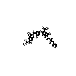 CC(NC(=O)Cn1cnnn1)[C@H]1C(=O)N2C(C(=O)O)C(SC3CNC(C(=O)N4CC5CC(NC(=N)N)C[C@]5(CO)C4)C3)[C@H](C)[C@H]12